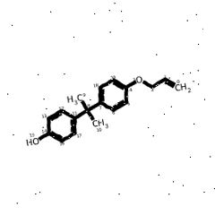 C=CCOc1ccc(C(C)(C)c2ccc(O)cc2)cc1